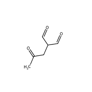 CC(=O)CC(C=O)C=O